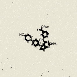 COC(=O)c1cccc(Nc2nc(N)nc3ccn(-c4ccc(N5CCC(O)CC5)cc4)c23)c1